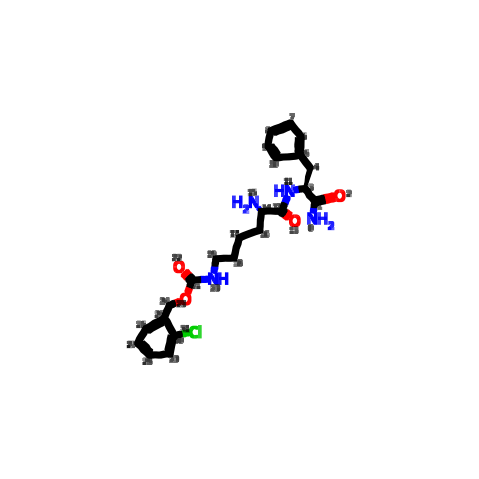 NC(=O)[C@H](Cc1ccccc1)NC(=O)[C@@H](N)CCCCNC(=O)OCc1ccccc1Cl